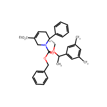 CCOC(=O)C1=CC[C@@](COC(C)c2cc(C(F)(F)F)cc(C(F)(F)F)c2)(c2ccccc2)N(C(=O)OCc2ccccc2)C1